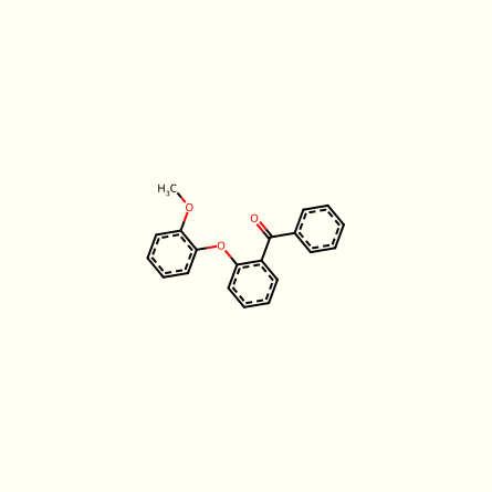 COc1ccccc1Oc1ccccc1C(=O)c1ccccc1